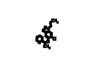 CCCc1noc2cc(O[C@H](C)c3ccccn3)c(Cl)cc12